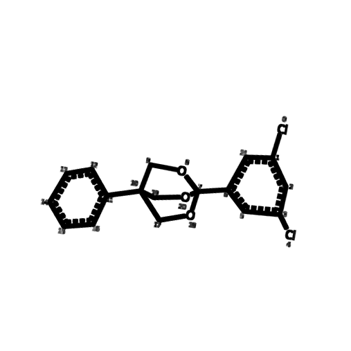 Clc1cc(Cl)cc(C23OCC(c4ccccc4)(CO2)CO3)c1